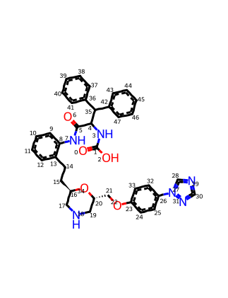 O=C(O)NC(C(=O)Nc1ccccc1CC[C@@H]1CNC[C@@H](COc2ccc(-n3cncn3)cc2)O1)C(c1ccccc1)c1ccccc1